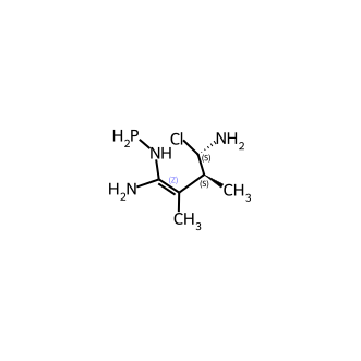 C/C(=C(\N)NP)[C@H](C)[C@@H](N)Cl